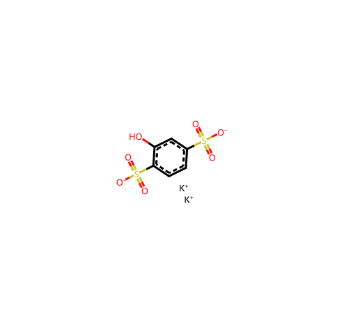 O=S(=O)([O-])c1ccc(S(=O)(=O)[O-])c(O)c1.[K+].[K+]